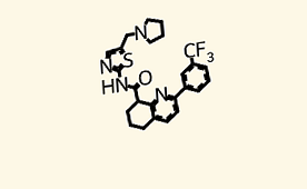 O=C(Nc1ncc(CN2CCCC2)s1)C1CCCc2ccc(-c3cccc(C(F)(F)F)c3)nc21